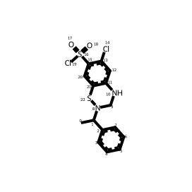 CC(c1ccccc1)N1CNc2cc(Cl)c(S(=O)(=O)Cl)cc2S1